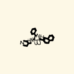 O=C(NC(C(=O)NCc1ccncc1)c1ccccc1)c1ccc2ccccc2c1